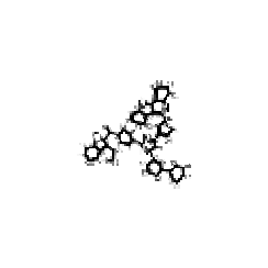 C=C(c1ccc(-c2nc(-c3cccc(-c4ccccc4)c3)cc(-c3cccc(-c4nc5ccccc5c5oc6ccccc6c45)c3)n2)cc1)c1oc2ccccc2c1/C=C\C